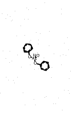 O=[AsH](Oc1ccccc1)Oc1ccccc1